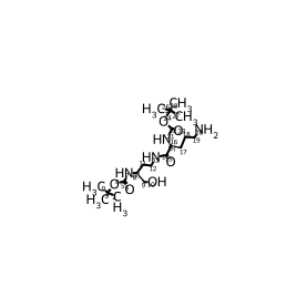 CC(C)(C)OC(=O)N[C@H](CO)CCNC(=O)[C@H](CCCN)NC(=O)OC(C)(C)C